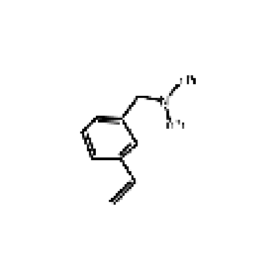 C=Cc1cccc(CN(CCC)CCC)c1